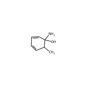 CC1C=CC=CC1(N)O